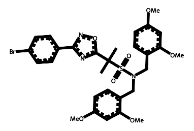 COc1ccc(CN(Cc2ccc(OC)cc2OC)S(=O)(=O)C(C)(C)c2nc(-c3ccc(Br)cc3)no2)c(OC)c1